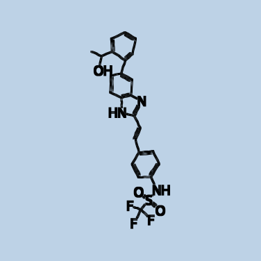 CC(O)c1ccccc1-c1ccc2[nH]c(C=Cc3ccc(NS(=O)(=O)C(F)(F)F)cc3)nc2c1